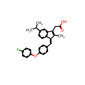 CC1=C(CC(=O)O)c2cc(C(C)C)ccc2/C1=C\c1ccc(Oc2ccc(F)cc2)cc1